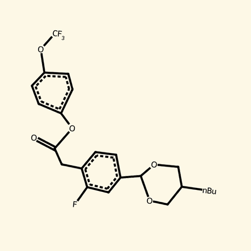 CCCCC1COC(c2ccc(CC(=O)Oc3ccc(OC(F)(F)F)cc3)c(F)c2)OC1